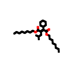 CCCCCCCCOC(=O)C(CC(C)C)=C(C(=O)OCCCCCCCC)C1CCCCC1